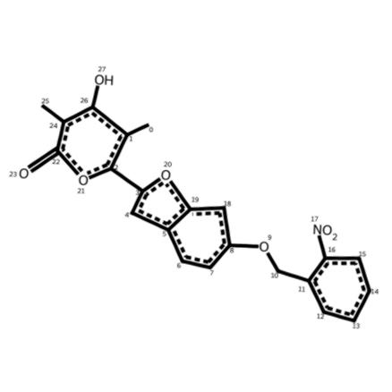 Cc1c(-c2cc3ccc(OCc4ccccc4[N+](=O)[O-])cc3o2)oc(=O)c(C)c1O